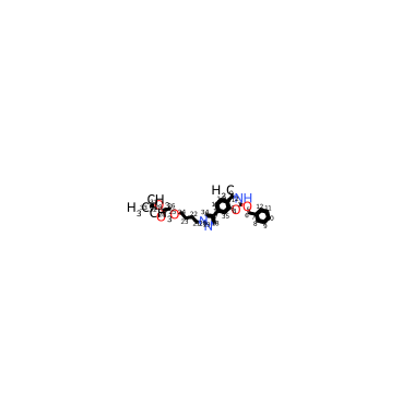 C[C@@H](NC(=O)OCc1ccccc1)c1ccc(-c2cnn(CCCCOCC(=O)OC(C)(C)C)c2)cc1